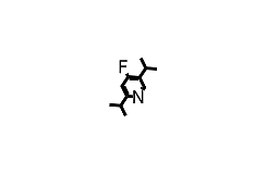 CC(C)c1cc(F)c(C(C)C)cn1